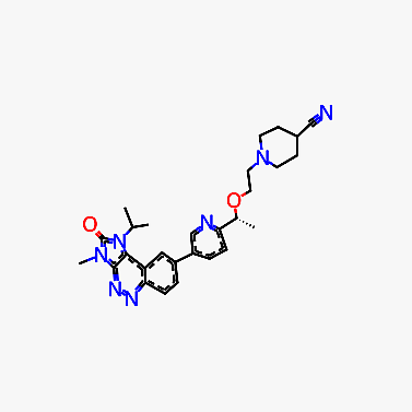 CC(C)n1c(=O)n(C)c2nnc3ccc(-c4ccc([C@@H](C)OCCN5CCC(C#N)CC5)nc4)cc3c21